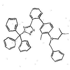 Cc1cc(-c2ccccc2-c2nnn(C(c3ccccc3)(c3ccccc3)c3ccccc3)n2)ccc1N(Cc1ccccc1)CC(C)C